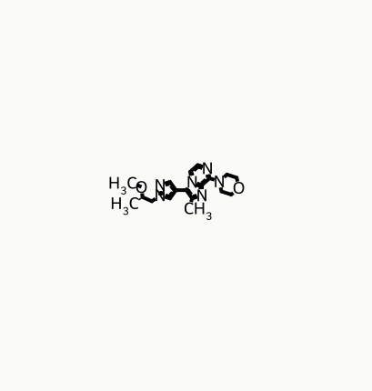 CO[C@@H](C)Cn1cc(-c2c(C)nc3c(N4CCOCC4)nccn23)cn1